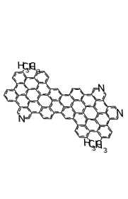 Cc1ccc2c3cccc4c5cncc6c7ccc8c9cc%10c%11ccc(C)c%12c%13c(C)ccc%14c%15cncc%16c%17cncc%18c%19ccc%20c%21cc%22c%23ccc(C)c%24c1c2c1c(c43)c(c56)c2c7c8c(c%21c9c3c%20c%19c4c(c%17%18)c(c%16%15)c(c%14%13)c(c%11%12)c4c%103)c%22c2c1c%23%24